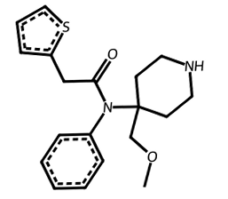 COCC1(N(C(=O)Cc2cccs2)c2ccccc2)CCNCC1